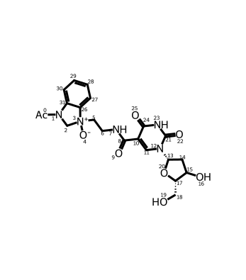 CC(=O)N1C[N+]([O-])(CCNC(=O)c2cn([C@@H]3CC(O)[C@H](CO)O3)c(=O)[nH]c2=O)c2ccccc21